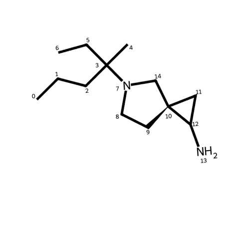 CCCC(C)(CC)N1CC[C@]2(CC2N)C1